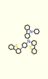 c1ccc(-n2c3ccccc3c3ccc(N(c4ccc(-c5cccc6c5sc5ccccc56)cc4)c4cccc5c4sc4ccccc45)cc32)cc1